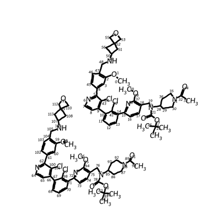 COc1cc(-c2nccc(-c3cccc(-c4ccc(CN(C(=O)OC(C)(C)C)C5CCN(C(C)=O)CC5)c(OC)n4)c3Cl)c2Cl)ccc1CNC1CC2(COC2)C1.COc1cc(-c2nccc(-c3cccc(-c4ccc(CN(C(=O)OC(C)(C)C)C5CCN(C(C)=O)CC5)c(OC)n4)c3Cl)c2Cl)ccc1CNC1CC2(COC2)C1